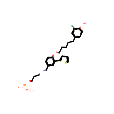 COc1ccc(CCCCCOc2ccc(CNCCCO[PH](=O)O)cc2-c2cccs2)cc1Cl